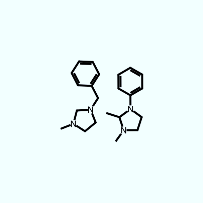 CC1N(C)CCN1c1ccccc1.CN1CCN(Cc2ccccc2)C1